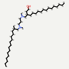 CCCCCCCCCCCCCCC(C)CN(C)CCCN(C)CC(CCO)CCCCCCCCCCCCCC